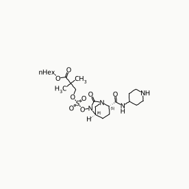 CCCCCCOC(=O)C(C)(C)COS(=O)(=O)ON1C(=O)N2C[C@H]1CC[C@H]2C(=O)NC1CCNCC1